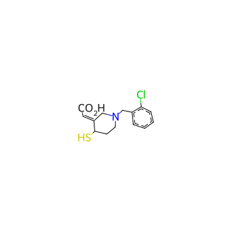 O=C(O)C=C1CN(Cc2ccccc2Cl)CCC1S